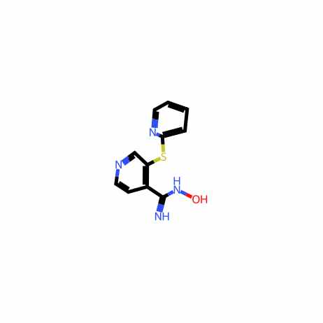 N=C(NO)c1ccncc1Sc1ccccn1